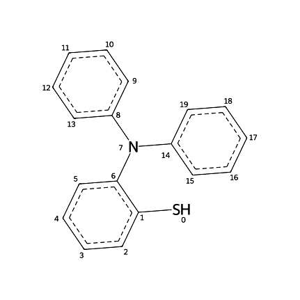 Sc1ccccc1N(c1ccccc1)c1ccccc1